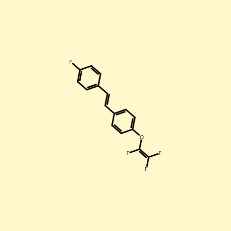 FC(F)=C(F)Oc1ccc(C=Cc2ccc(F)cc2)cc1